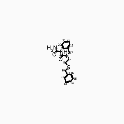 NC(=O)NC(=O)N(CCSCc1ccccc1)Cc1ccccc1